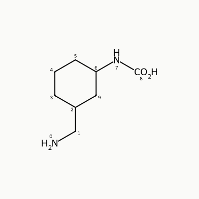 NCC1CCCC(NC(=O)O)C1